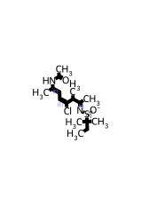 CCC(C)(C)[S@+]([O-])/N=C(\C)C(C)/C(Cl)=C\C=C(/C)NC(C)=O